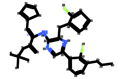 C=C(CC(C)(C)C)/C(=C/C1=CC=CC1)Nc1ncc(-c2cccc(CCC)c2F)nc1Cc1ccccc1F